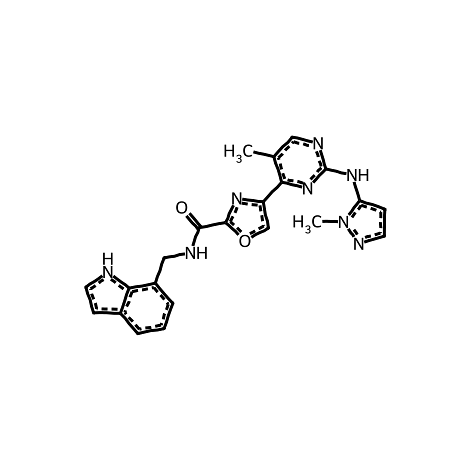 Cc1cnc(Nc2ccnn2C)nc1-c1coc(C(=O)NCc2cccc3cc[nH]c23)n1